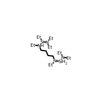 CCN(CC)[SiH2]N(CC)CCCCN(CC)[SiH](CC)N(CC)CC